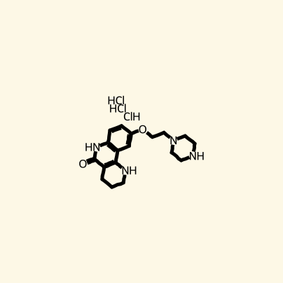 Cl.Cl.Cl.O=c1[nH]c2ccc(OCCN3CCNCC3)cc2c2c1CCCN2